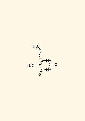 C=CCc1[nH]c(=O)[nH]c(=O)c1C